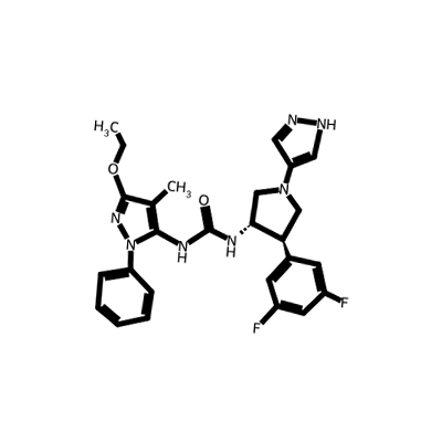 CCOc1nn(-c2ccccc2)c(NC(=O)N[C@@H]2CN(c3cn[nH]c3)C[C@H]2c2cc(F)cc(F)c2)c1C